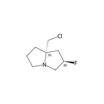 F[C@H]1CN2CCC[C@@]2(CCl)C1